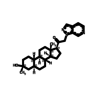 C[C@@]1(O)CC[C@H]2[C@@H](CC[C@@H]3[C@@H]2CC[C@]2(C)[C@@H](C(=O)Cn4ncc5ccncc54)CC[C@@H]32)C1